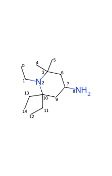 CCN1C(C)(C)CC(N)CC1(CC)CC